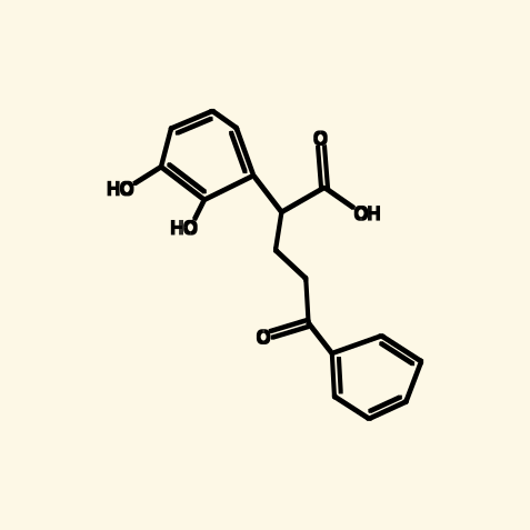 O=C(CCC(C(=O)O)c1cccc(O)c1O)c1ccccc1